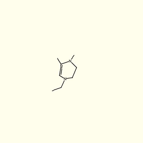 CCN1C=C(C)N(C)CC1